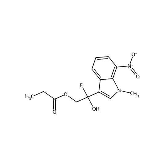 CCC(=O)OCC(O)(F)c1cn(C)c2c([N+](=O)[O-])cccc12